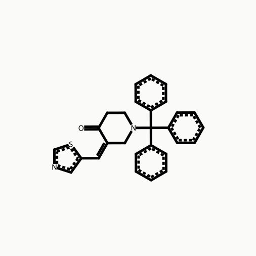 O=C1CCN(C(c2ccccc2)(c2ccccc2)c2ccccc2)C/C1=C/c1cncs1